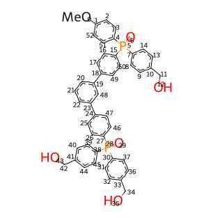 COc1ccc(P(=O)(c2ccc(CO)cc2)c2ccc(-c3cccc(-c4ccc(P(=O)(c5ccc(CO)cc5)c5ccc(CO)cc5)cc4)c3)cc2)cc1